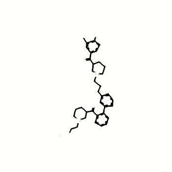 CCCN1CCCC(C(=O)c2ccccc2-c2cccc(CCCN3CCCC(C(=O)c4ccc(Cl)c(Cl)c4)C3)c2)C1